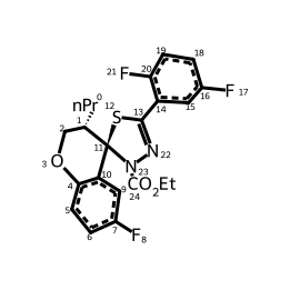 CCC[C@H]1COc2ccc(F)cc2[C@]12SC(c1cc(F)ccc1F)=NN2C(=O)OCC